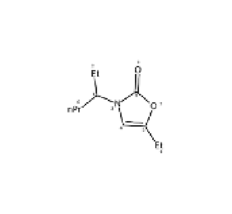 CCCC(CC)n1cc(CC)oc1=O